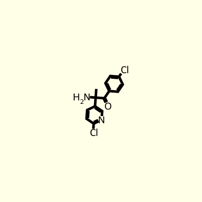 CC(N)(C(=O)c1ccc(Cl)cc1)c1ccc(Cl)nc1